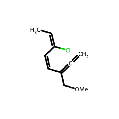 C=C=C(/C=C\C(Cl)=C/C)COC